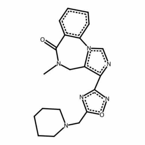 CN1Cc2c(-c3noc(CN4CCCCC4)n3)ncn2-c2ccccc2C1=O